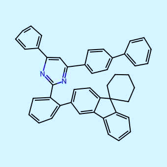 c1ccc(-c2ccc(-c3cc(-c4ccccc4)nc(-c4ccccc4-c4ccc5c(c4)-c4ccccc4C54CCCCC4)n3)cc2)cc1